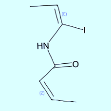 C/C=C\C(=O)N/C(I)=C\C